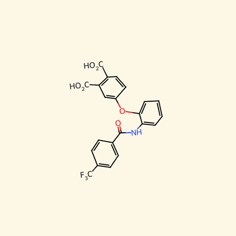 O=C(Nc1ccccc1Oc1ccc(C(=O)O)c(C(=O)O)c1)c1ccc(C(F)(F)F)cc1